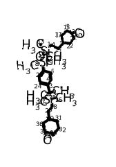 CC(C)(c1ccc([Si](C)(C)O[Si](C)(C)CCC2CCC3OC3C2)cc1)[Si](C)(C)CCC1CCC2OC2C1